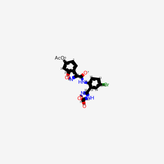 CC(=O)Oc1ccc2c(C(=O)Nc3ccc(Br)cc3-c3noc(=O)[nH]3)noc2c1